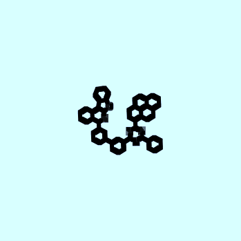 C1=CC2=c3c(oc4ccccc34)=NC(c3cccc(-c4cccc(-c5nc(-c6ccccc6)nc(-c6ccc7ccc8cccc9ccc6c7c89)n5)c4)c3)C2C=C1